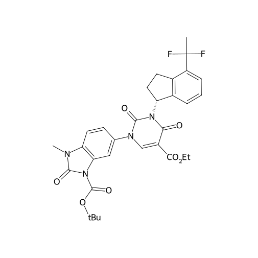 CCOC(=O)c1cn(-c2ccc3c(c2)n(C(=O)OC(C)(C)C)c(=O)n3C)c(=O)n([C@@H]2CCc3c2cccc3C(C)(F)F)c1=O